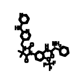 CC1(C)C(=O)N(c2ccc(OC(F)(F)F)c(NC(=O)[C@H](N)c3ccccc3)c2)C(=O)N1Cc1ccnc(Nc2cccnc2)c1